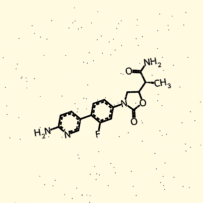 C[C@H](C(N)=O)C1CN(c2ccc(-c3ccc(N)nc3)c(F)c2)C(=O)O1